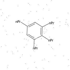 CCCc1cc(CCC)c(CCC)c(CCC)c1